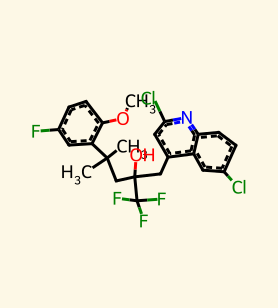 COc1ccc(F)cc1C(C)(C)CC(O)(Cc1cc(Cl)nc2ccc(Cl)cc12)C(F)(F)F